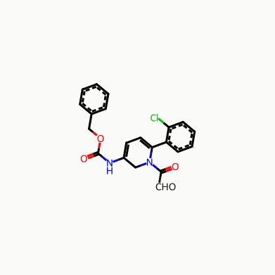 O=CC(=O)N1CC(NC(=O)OCc2ccccc2)=CC=C1c1ccccc1Cl